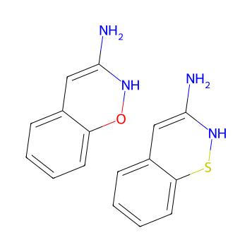 NC1=Cc2ccccc2ON1.NC1=Cc2ccccc2SN1